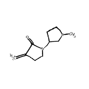 C=C1CCN(C2CCN(C)C2)C1=O